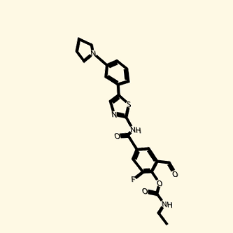 CCNC(=O)Oc1c(F)cc(C(=O)Nc2ncc(-c3cccc(N4CCCC4)c3)s2)cc1C=O